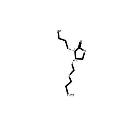 COCCOCO[C@H]1COC(=O)[C@H]1CCCO